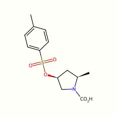 Cc1ccc(S(=O)(=O)O[C@H]2C[C@@H](C)N(C(=O)O)C2)cc1